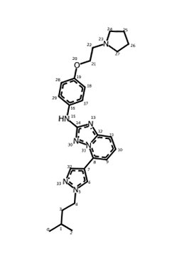 CC(C)CCn1cc(-c2cccc3nc(Nc4ccc(OCCN5CCCC5)cc4)nn23)cn1